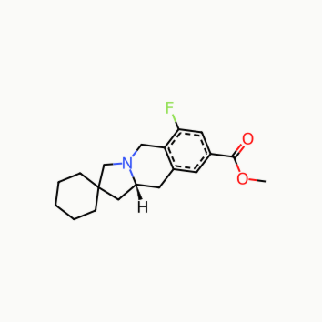 COC(=O)c1cc(F)c2c(c1)C[C@@H]1CC3(CCCCC3)CN1C2